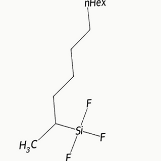 CCCCCCCCCCC(C)[Si](F)(F)F